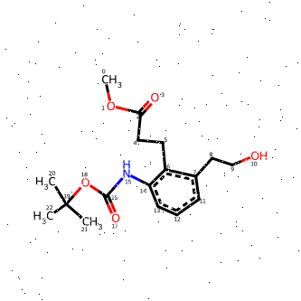 COC(=O)CCc1c(CCO)cccc1NC(=O)OC(C)(C)C